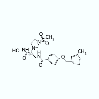 Cc1cccc(COc2ccc(C(=O)NC[C@@H](C(=O)NO)N3CCN(S(C)(=O)=O)C3)cc2)c1